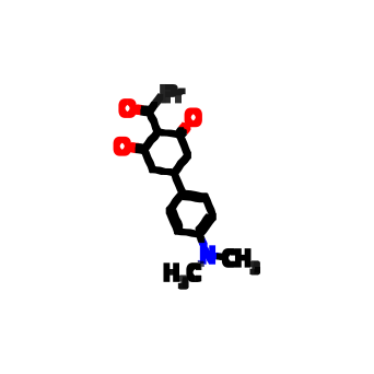 CC(C)C(=O)C1C(=O)CC(c2ccc(N(C)C)cc2)CC1=O